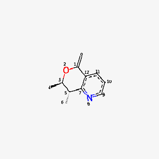 C=C1O[C@H](C)[C@@H](C)c2ncccc21